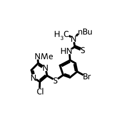 CCCCN(C)C(=S)Nc1cc(Br)cc(Sc2nc(NC)cnc2Cl)c1